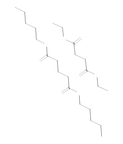 CCCCCOC(=O)CCCC(=O)OCCCCC.CCOC(=O)CCC(=O)OCC